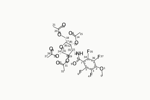 COc1c(F)c(F)c(C(=O)N[C@H]2[C@@H](OC(C)=O)[C@@H](COC(C)=O)O[C@@H](OC(C)=O)[C@@H]2OC(C)=O)c(F)c1F